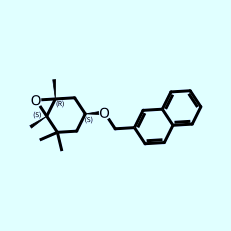 CC1(C)C[C@H](OCc2ccc3ccccc3c2)C[C@@]2(C)O[C@@]12C